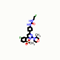 C[C@H]1COCCN1c1nc(-c2ccc(NC(=O)NCCF)cc2)cc(-c2cc(F)ccc2S(C)(=O)=O)n1